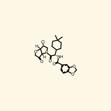 CC1(C)CCC([C@H](NC(=O)c2ccc3c(c2)OCO3)C(=O)N2C[C@H](Cl)[C@H]3OCC(=O)[C@H]32)CC1